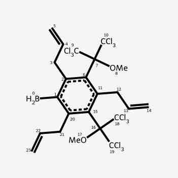 Bc1c(CC=C)c(C(OC)(C(Cl)(Cl)Cl)C(Cl)(Cl)Cl)c(CC=C)c(C(OC)(C(Cl)(Cl)Cl)C(Cl)(Cl)Cl)c1CC=C